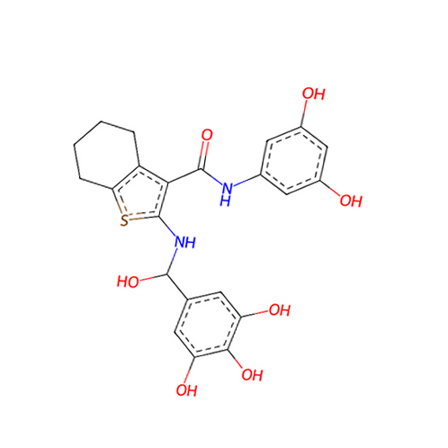 O=C(Nc1cc(O)cc(O)c1)c1c(NC(O)c2cc(O)c(O)c(O)c2)sc2c1CCCC2